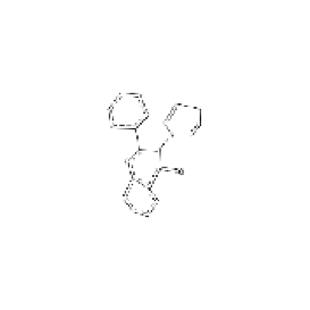 O=c1c(N2C=CCC=C2)c(-c2ccccc2)oc2ccccc12